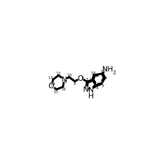 Nc1ccc2[nH]nc(OCCN3CCOCC3)c2c1